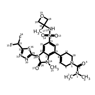 CN(C)C(=O)N1CC=C(c2cc(S(=O)(=O)NC3(C)COC3)cc3c2n(C)c(=O)n3-c2nnc(C(F)F)s2)CC1